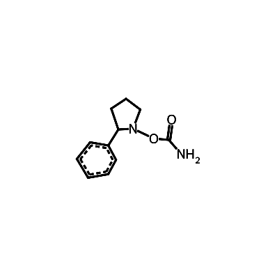 NC(=O)ON1CCCC1c1ccccc1